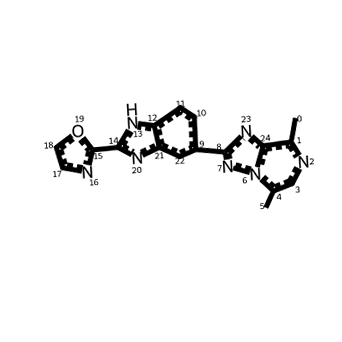 Cc1ncc(C)n2nc(-c3ccc4[nH]c(-c5ncco5)nc4c3)nc12